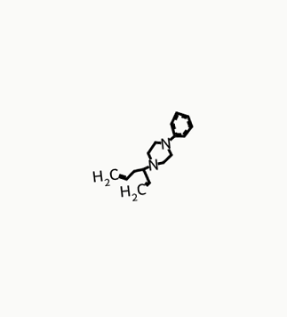 C=CCC(C=C)N1CCN(c2ccccc2)CC1